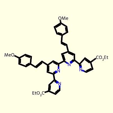 CCOC(=O)c1ccnc(-c2cc(/C=C/c3ccc(OC)cc3)cc(-c3cc(/C=C/c4ccc(OC)cc4)cc(-c4cc(C(=O)OCC)ccn4)n3)n2)c1